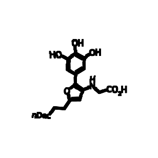 CCCCCCCCCCCCc1cc(NCC(=O)O)c(-c2cc(O)c(O)c(O)c2)o1